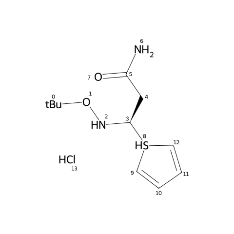 CC(C)(C)ON[C@@H](CC(N)=O)[SH]1C=CC=C1.Cl